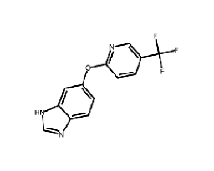 FC(F)(F)c1ccc(Oc2ccc3nc[nH]c3c2)nc1